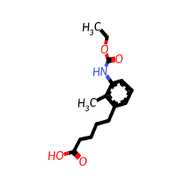 CCOC(=O)Nc1cccc(CCCCC(=O)O)c1C